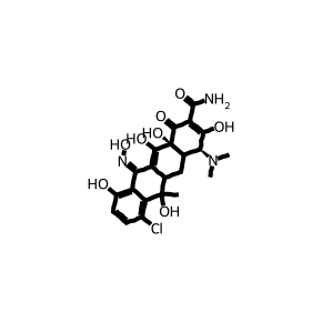 CN(C)[C@@H]1C(O)=C(C(N)=O)C(=O)[C@@]2(O)C(O)=C3C(=NO)c4c(O)ccc(Cl)c4C(C)(O)C3CC12